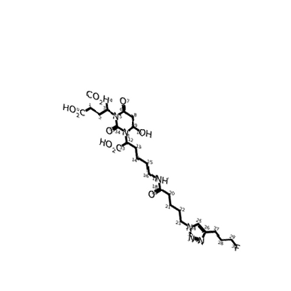 O=C(O)CCC(C(=O)O)N1C(=O)CC(O)N(C(CCCCNC(=O)CCCCn2cc(CCCF)nn2)C(=O)O)C1=O